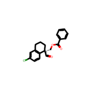 O=C[C@]1(COC(=O)c2ccccc2)CCCc2cc(Cl)ccc21